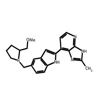 COCC1CCCN1Cc1ccc2[nH]c(-c3ccnc4[nH]c(C)nc34)cc2c1